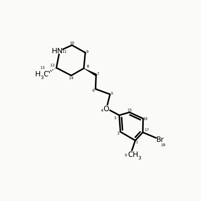 Cc1cc(OCCC[C@@H]2CCN[C@@H](C)C2)ccc1Br